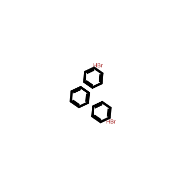 Br.Br.c1ccccc1.c1ccccc1.c1ccccc1